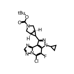 CC(C)(C)OC(=O)N1C[C@@H]2C(c3nn(C4CC4)c4c(F)c(Cl)n5ncnc5c34)[C@@H]2C1